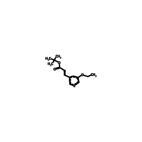 CCOc1cncc(C=CC(=O)OC(C)(C)C)c1